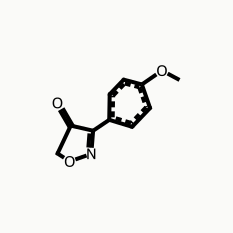 COc1ccc(C2=NOCC2=O)cc1